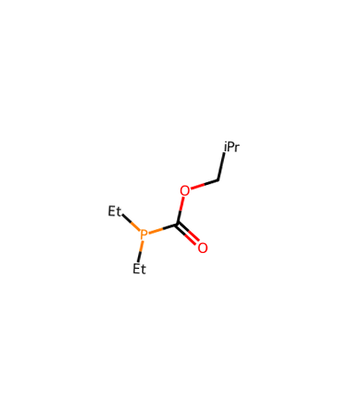 CCP(CC)C(=O)OCC(C)C